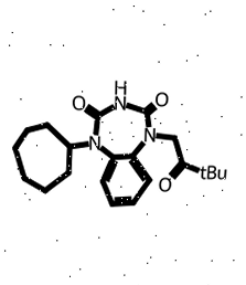 CC(C)(C)C(=O)CN1C(=O)NC(=O)N(C2CCCCCC2)c2ccccc21